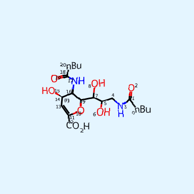 CCCCC(=O)NCC(O)C(O)C1OC(C(=O)O)=C[C@@H](O)C1NC(=O)CCCC